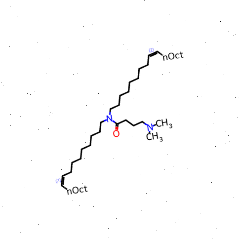 CCCCCCCC/C=C\CCCCCCCCN(CCCCCCCC/C=C\CCCCCCCC)C(=O)CCCN(C)C